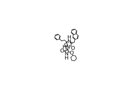 O=C(CCc1ccccc1)N[C@@H](Cc1ccc2ccccc2c1)C(=O)N[C@@H]1C(=O)NC1OC1CCCCC1